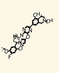 CCOc1cc(C(C)n2cc(Oc3nc(-c4cc(C)c5c(c4)CN(C)CC5)cnc3N)cn2)c(Cl)cc1F